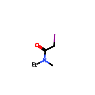 CCN(C)C(=O)CI